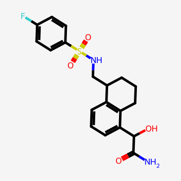 NC(=O)C(O)c1cccc2c1CCCC2CNS(=O)(=O)c1ccc(F)cc1